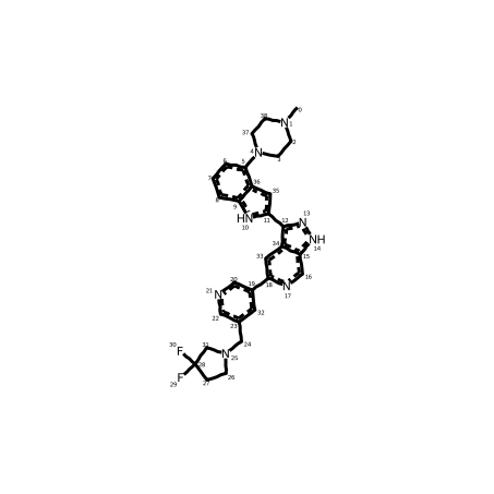 CN1CCN(c2cccc3[nH]c(-c4n[nH]c5cnc(-c6cncc(CN7CCC(F)(F)C7)c6)cc45)cc23)CC1